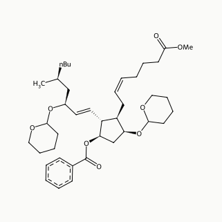 CCCC[C@H](C)C[C@@H](/C=C/[C@@H]1[C@@H](C/C=C\CCCC(=O)OC)[C@@H](OC2CCCCO2)C[C@H]1OC(=O)c1ccccc1)OC1CCCCO1